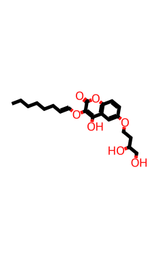 CCCCCCC=COc1c(O)c2cc(OCCC(O)CO)ccc2oc1=O